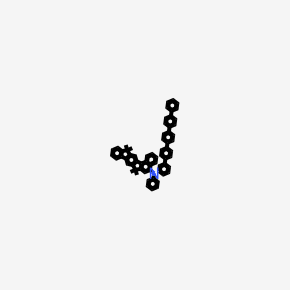 CC1(C)c2ccccc2-c2cc3c(cc21)-c1c(cc(N(c2ccccc2)c2cccc(-c4ccc(-c5ccc(-c6ccc(-c7ccccc7)cc6)cc5)cc4)c2)c2ccccc12)C3(C)C